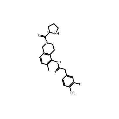 Cc1ccc2c(c1NC(=O)Cc1ccc(C(F)(F)F)c(F)c1)CCN(C(=O)[C@H]1CCCN1)C2